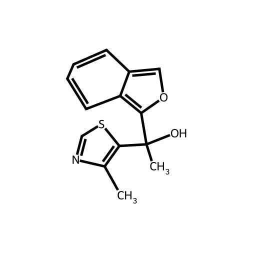 Cc1ncsc1C(C)(O)c1occ2ccccc12